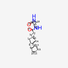 O=C(CCc1ccc(-c2ccccc2)cc1)N[C@H]1CNC1=O